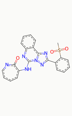 CS(=O)(=O)c1ccccc1-c1nc2c3ccccc3nc(Nc3ccccnc3=O)n2n1